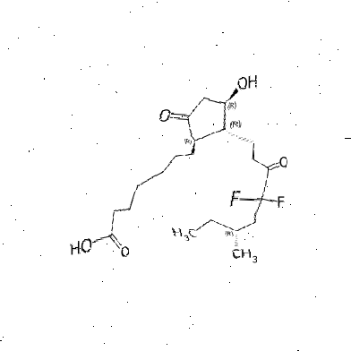 CC[C@@H](C)CC(F)(F)C(=O)CC[C@H]1[C@H](O)CC(=O)[C@@H]1CCCCCCC(=O)O